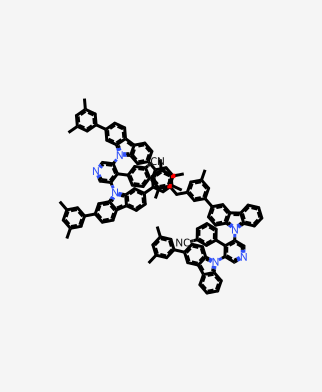 Cc1cc(C)cc(-c2ccc3c(c2)c2ccccc2n3-c2cncc(-n3c4ccccc4c4cc(-c5cc(C)cc(Cc6c(C)cc(-c7ccc8c9ccc(-c%10cc(C)cc(C)c%10)cc9n(-c9cncc(-n%10c%11cc(-c%12cc(C)cc(C)c%12)ccc%11c%11ccc(-c%12cc(C)cc(C)c%12)cc%11%10)c9-c9cccc(C#N)c9)c8c7)cc6C)c5)ccc43)c2-c2cccc(C#N)c2)c1